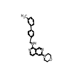 Cc1cccc(-c2ccc(CNc3nccc4cc(N5CCOCC5)ncc34)cc2)c1